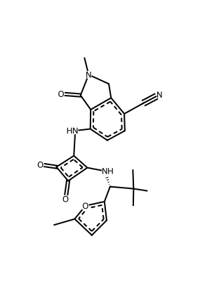 Cc1ccc([C@H](Nc2c(Nc3ccc(C#N)c4c3C(=O)N(C)C4)c(=O)c2=O)C(C)(C)C)o1